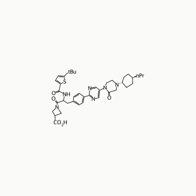 CCC[C@H]1CC[C@H](N2CCN(c3cnc(-c4ccc(CC(NC(=O)c5ccc(C(C)(C)C)s5)C(=O)N5CC(C(=O)O)C5)cc4)nc3)C(=O)C2)CC1